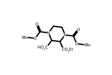 CCOC(=O)C1C(C(=O)O)N(C(=O)OC(C)(C)C)CCN1C(=O)OC(C)(C)C